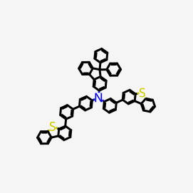 c1ccc(C2(c3ccccc3)c3ccccc3-c3cc(N(c4ccc(-c5cccc(-c6cccc7c6sc6ccccc67)c5)cc4)c4cccc(-c5ccc6sc7ccccc7c6c5)c4)ccc32)cc1